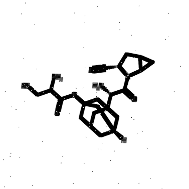 N#C[C@@H]1CC2CC2N1C(=O)[C@@H](N)C12CC3C[C@H](CC(OC(=O)C(N)CS)(C3)C1)C2